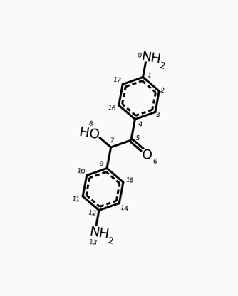 Nc1ccc(C(=O)C(O)c2ccc(N)cc2)cc1